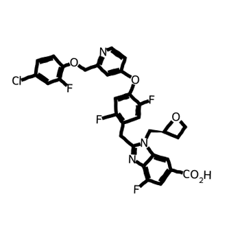 O=C(O)c1cc(F)c2nc(Cc3cc(F)c(Oc4ccnc(COc5ccc(Cl)cc5F)c4)cc3F)n(C[C@@H]3CCO3)c2c1